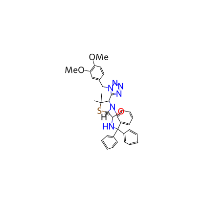 COc1ccc(Cn2nnnc2C2N3C(=O)C(NC(c4ccccc4)(c4ccccc4)c4ccccc4)[C@H]3SC2(C)C)cc1OC